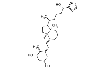 C=C1/C(=C\C=C2/CCC[C@]3(C)[C@@H]([C@@H](C)CCC[C@H](O)c4cccs4)CC[C@@H]23)C[C@@H](O)C[C@@H]1O